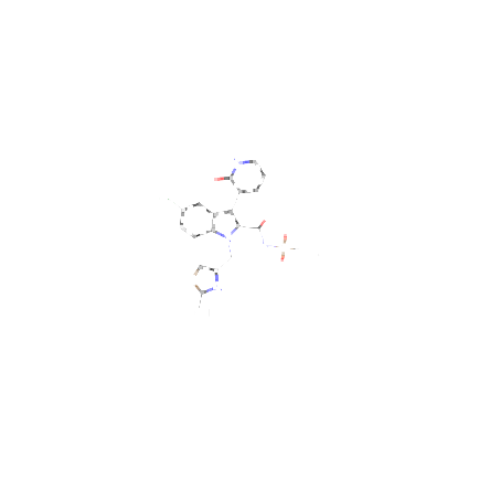 Cc1nc(Cn2c(C(=O)NS(C)(=O)=O)c(-c3ccc[nH]c3=O)c3cc(Cl)ccc32)cs1